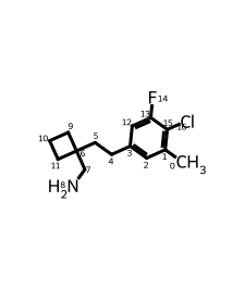 Cc1cc(CCC2(CN)CCC2)cc(F)c1Cl